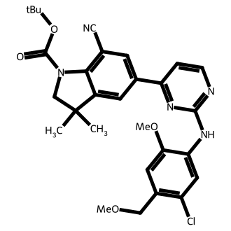 COCc1cc(OC)c(Nc2nccc(-c3cc(C#N)c4c(c3)C(C)(C)CN4C(=O)OC(C)(C)C)n2)cc1Cl